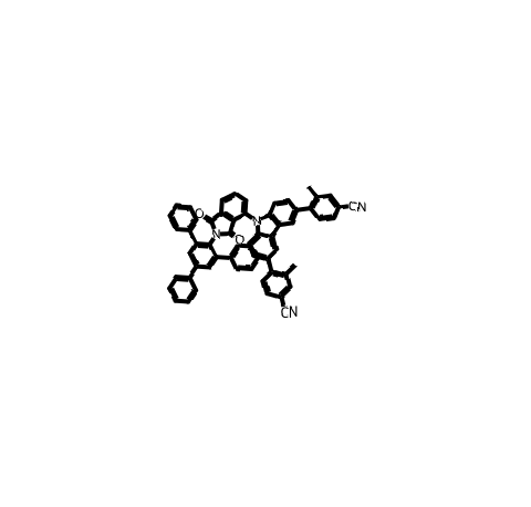 Cc1cc(C#N)ccc1-c1ccc2c(c1)c1cc(-c3ccc(C#N)cc3C)ccc1n2-c1cccc2c1C(=O)N(c1c(-c3ccccc3)cc(-c3ccccc3)cc1-c1ccccc1)C2=O